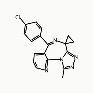 Cc1nnc2n1-c1ncccc1C(c1ccc(Cl)cc1)=NC21CC1